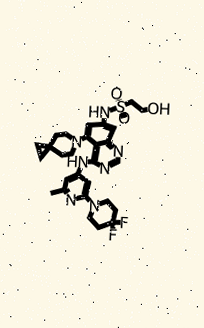 Cc1cc(Nc2ncnc3cc(NS(=O)(=O)CCO)cc(N4CCC5(CC4)CC5)c23)cc(N2CCC(F)(F)CC2)n1